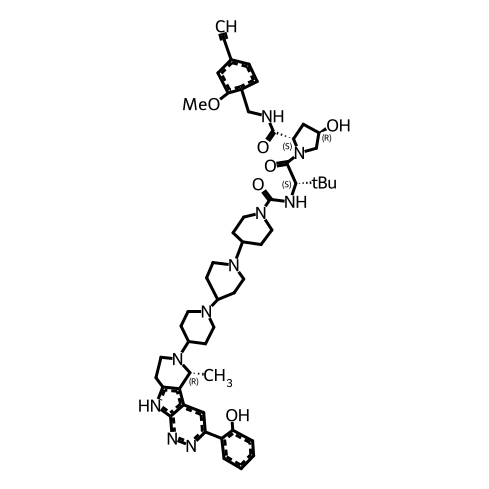 C#Cc1ccc(CNC(=O)[C@@H]2C[C@@H](O)CN2C(=O)[C@@H](NC(=O)N2CCC(N3CCC(N4CCC(N5CCc6[nH]c7nnc(-c8ccccc8O)cc7c6[C@H]5C)CC4)CC3)CC2)C(C)(C)C)c(OC)c1